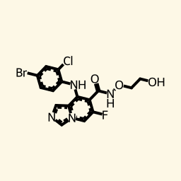 O=C(NOCCO)c1c(F)cn2cncc2c1Nc1ccc(Br)cc1Cl